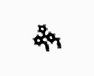 N#COc1ccc(C(c2ccccc2OC#N)C2CCCC2)cc1